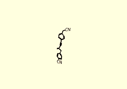 C=C(C#Cc1ccc(CC#N)cc1)Cc1ccc(C#N)cc1